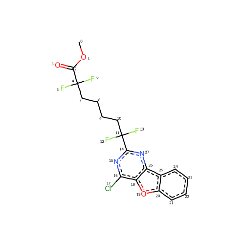 COC(=O)C(F)(F)CCCCC(F)(F)c1nc(Cl)c2oc3ccccc3c2n1